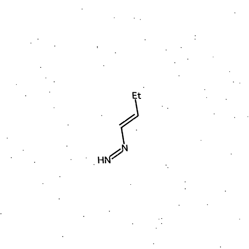 CC/C=C/N=N